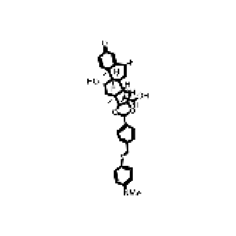 CNc1ccc(SCc2ccc([C@@H]3O[C@@H]4C[C@H]5[C@@H]6C[C@H](F)C7=CC(=O)C=C[C@]7(C)[C@@]6(F)[C@@H](O)C[C@]5(C)[C@]4(C(O)CO)O3)cc2)cc1